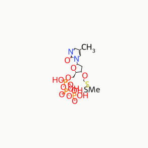 CSSCO[C@H]1C[C@H](n2cc(C)cnc2=O)O[C@@H]1COP(=O)(O)OP(=O)(O)OP(=O)(O)O